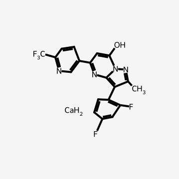 Cc1nn2c(O)cc(-c3ccc(C(F)(F)F)nc3)nc2c1-c1ccc(F)cc1F.[CaH2]